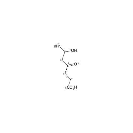 CCCC(O)CC(=O)CCC(=O)O